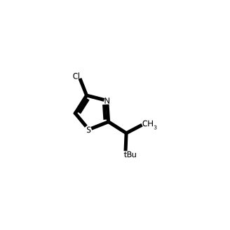 CC(c1nc(Cl)cs1)C(C)(C)C